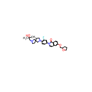 CC(C)(O)CN1CCC2(CCN(c3ccc(-n4ccc5cc(OCC6CCCO6)ccc5c4=O)cc3F)C2)C1